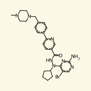 CN1CCN(Cc2ccc(-c3ccc(C(=O)NN(c4nc(N)ncc4Br)C4CCCC4)cn3)cc2)CC1